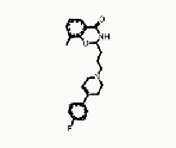 Cc1cccc2c1OC(CCCN1CC=C(c3ccc(F)cc3)CC1)NC2=O